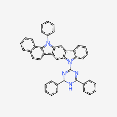 c1ccc(C2=NC(n3c4ccccc4c4cc5c(cc43)c3ccc4ccccc4c3n5-c3ccccc3)=NC(c3ccccc3)N2)cc1